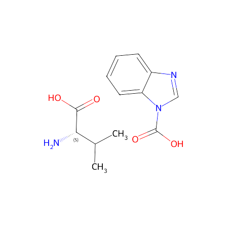 CC(C)[C@H](N)C(=O)O.O=C(O)n1cnc2ccccc21